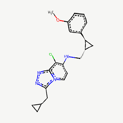 COc1cccc([C@H]2C[C@@H]2CNc2ccn3c(CC4CC4)nnc3c2Cl)c1